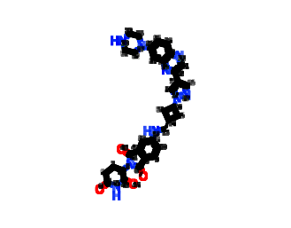 O=C1CCC(N2C(=O)c3ccc(NC[C@H]4C[C@H](n5cc(-c6cnc7ccc(N8CCNCC8)cc7n6)cn5)C4)cc3C2=O)C(=O)N1